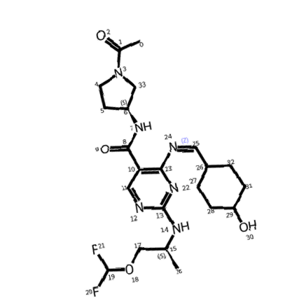 CC(=O)N1CC[C@H](NC(=O)c2cnc(N[C@@H](C)COC(F)F)nc2/N=C\C2CCC(O)CC2)C1